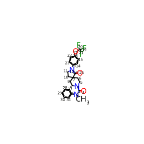 CN(C(=O)N1CCC2(CC1)CCN(c1ccc(OC(F)(F)F)cc1)C2=O)c1ccccc1